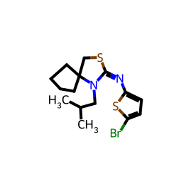 CC(C)CN1/C(=N\c2ccc(Br)s2)SCC12CCCC2